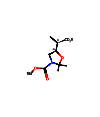 C[C@H](C(=O)O)[C@@H]1CN(C(=O)OC(C)(C)C)C(C)(C)O1